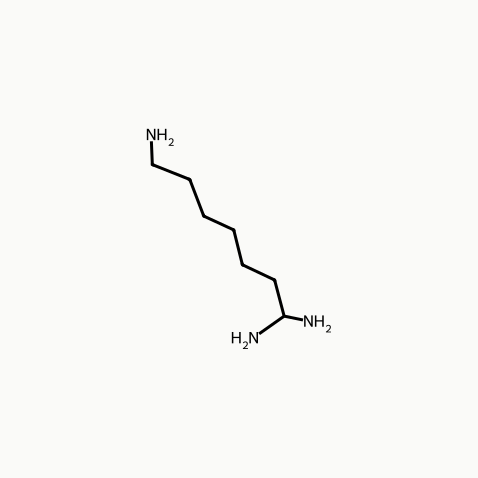 NCCCCCCC(N)N